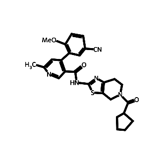 COc1ccc(C#N)cc1-c1cc(C)ncc1C(=O)Nc1nc2c(s1)CN(C(=O)C1CCCC1)CC2